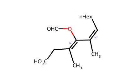 CCCCCC/C=C(C)\C(OC=O)=C(/C)CC(=O)O